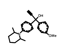 C#CC(O)(c1ccc(OC)cc1)c1ccc(N2C(C)CCCC2C)cc1